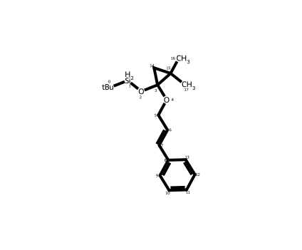 CC(C)(C)[SiH2]OC1(OCC=Cc2ccccc2)CC1(C)C